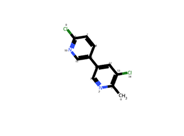 Cc1ncc(-c2ccc(Cl)nc2)cc1Cl